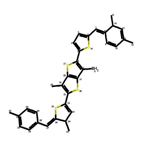 Bc1c(-c2ccc(C=C3C=CC(C)=CC3C)s2)sc2c(C)c(C3=CC(C)C(=Cc4ccc(C)cc4)S3)sc12